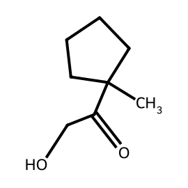 CC1(C(=O)CO)CCCC1